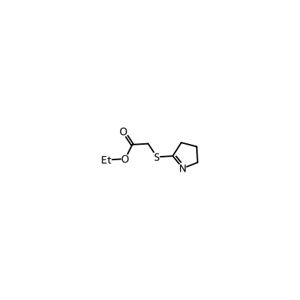 CCOC(=O)CSC1=NCCC1